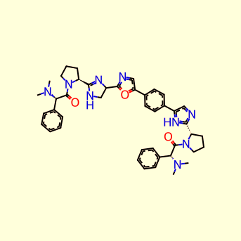 CN(C)[C@@H](C(=O)N1CCC[C@H]1C1=NC(c2ncc(-c3ccc(-c4cnc([C@@H]5CCCN5C(=O)[C@@H](c5ccccc5)N(C)C)[nH]4)cc3)o2)CN1)c1ccccc1